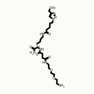 CC(=O)OCc1cn(CCCCC(=O)NCCCC[C@H](NC(=O)CCC(=O)NCCOCCOCCN)C(N)=O)nn1